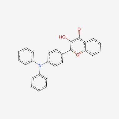 O=c1c(O)c(-c2ccc(N(c3ccccc3)c3ccccc3)cc2)oc2ccccc12